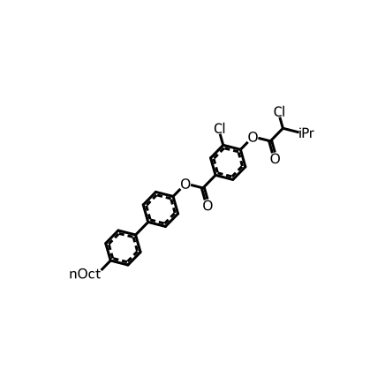 CCCCCCCCc1ccc(-c2ccc(OC(=O)c3ccc(OC(=O)C(Cl)C(C)C)c(Cl)c3)cc2)cc1